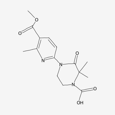 COC(=O)c1ccc(N2CCN(C(=O)O)C(C)(C)C2=O)nc1C